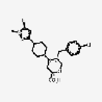 Cn1nc(C2CCC(N3C[C@H](C(=O)O)OC[C@@H]3Cc3ccc(Cl)cc3)CC2)cc1F